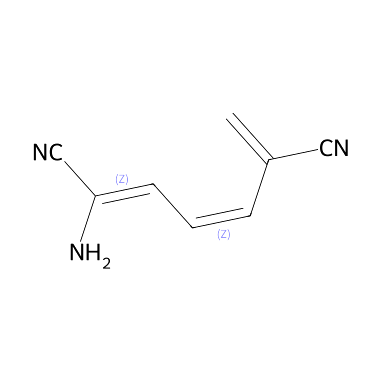 C=C(C#N)/C=C\C=C(/N)C#N